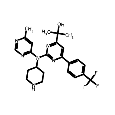 Cc1cc(N(c2nc(-c3ccc(C(F)(F)F)cc3)cc(C(C)(C)O)n2)C2CCNCC2)ncn1